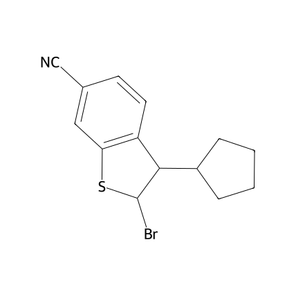 N#Cc1ccc2c(c1)SC(Br)C2C1CCCC1